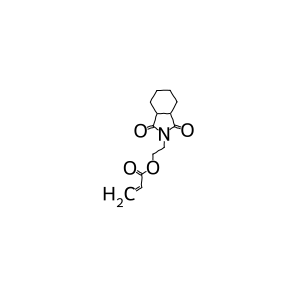 C=CC(=O)OCCN1C(=O)C2CCCCC2C1=O